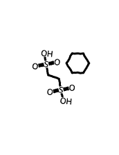 C1CCCCC1.O=S(=O)(O)CCS(=O)(=O)O